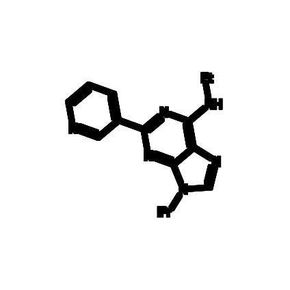 [CH2]CNc1nc(-c2cccnc2)nc2c1ncn2C(C)C